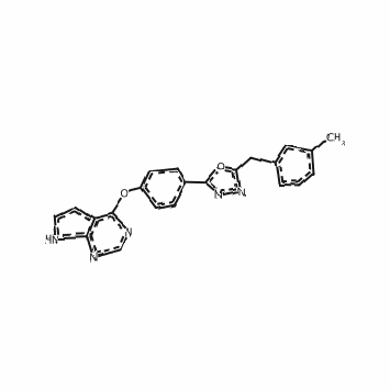 Cc1cccc(Cc2nnc(-c3ccc(Oc4ncnc5[nH]ccc45)cc3)o2)c1